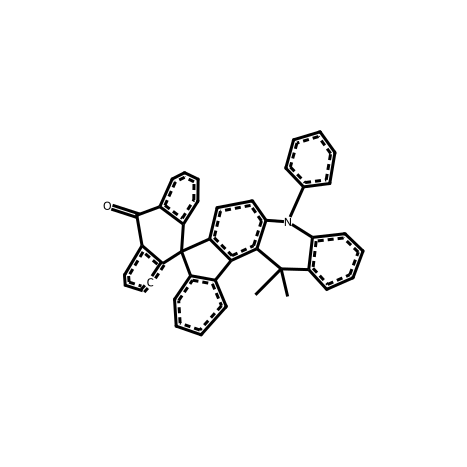 CC1(C)c2ccccc2N(c2ccccc2)c2ccc3c(c21)-c1ccccc1C31c2ccccc2C(=O)c2ccccc21